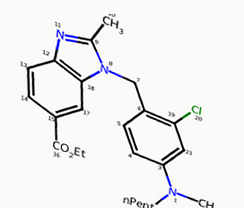 CCCCCN(C)c1ccc(Cn2c(C)nc3ccc(C(=O)OCC)cc32)c(Cl)c1